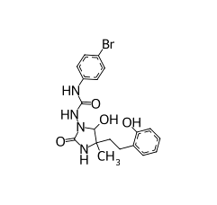 CC1(CCc2ccccc2O)NC(=O)N(NC(=O)Nc2ccc(Br)cc2)C1O